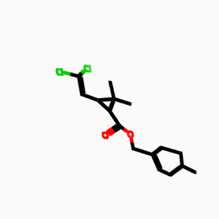 CC1CC=C(COC(=O)C2C(C=C(Cl)Cl)C2(C)C)CC1